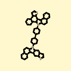 c1ccc2c(c1)ccc1c2c2cc3sccc3cc2n1-c1ccc(-c2ccc(-n3c4ccc5ccccc5c4c4c5sccc5c5ccccc5c43)cc2)cc1